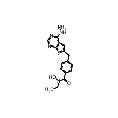 CCN(O)C(=O)c1ccc(Cc2cc3c(NN)ncnc3s2)cc1